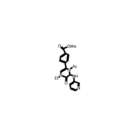 CCN1C=C(c2ccc(C(=O)OC)cc2)N(C(C)=O)C(Nc2cccnc2)C1=O